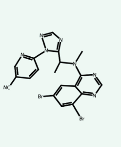 CC(c1ncnn1-c1ccc(C#N)cn1)N(C)c1ncnc2c(Br)cc(Br)cc12